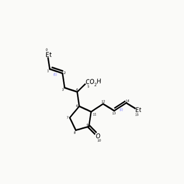 CC/C=C/CC(C(=O)O)C1CCC(=O)C1C/C=C/CC